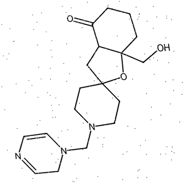 O=C1CCCC2(CO)OC3(CCN(CN4C=CN=CC4)CC3)CC12